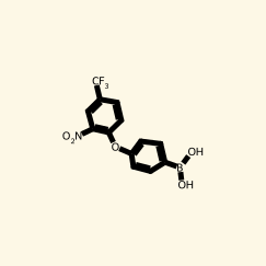 O=[N+]([O-])c1cc(C(F)(F)F)ccc1Oc1ccc(B(O)O)cc1